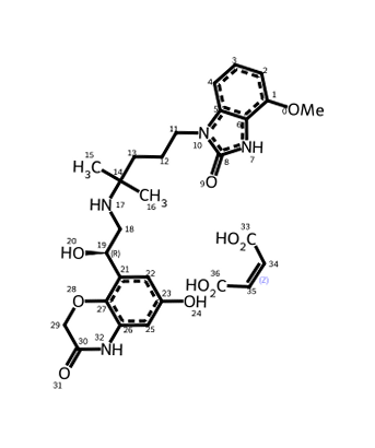 COc1cccc2c1[nH]c(=O)n2CCCC(C)(C)NC[C@H](O)c1cc(O)cc2c1OCC(=O)N2.O=C(O)/C=C\C(=O)O